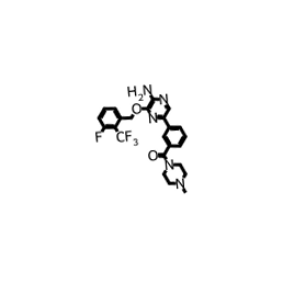 CN1CCN(C(=O)c2cccc(-c3cnc(N)c(OCc4cccc(F)c4C(F)(F)F)n3)c2)CC1